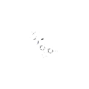 CNc1cc2c(s1)-c1sc(/C=C(\C#N)C(=O)OC(C)(C)C)cc1S21CCC1